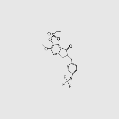 CCS(=O)(=O)Oc1cc2c(cc1OC)CC(Cc1ccc(SC(F)(F)F)cc1)C2=O